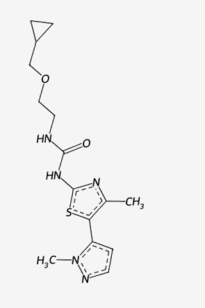 Cc1nc(NC(=O)NCCOCC2CC2)sc1-c1ccnn1C